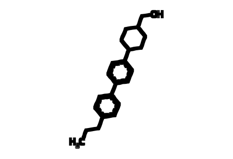 CCCc1ccc(-c2ccc(C3CCC(CO)CC3)cc2)cc1